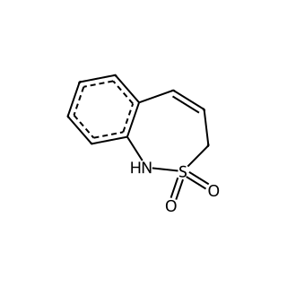 O=S1(=O)CC=Cc2ccccc2N1